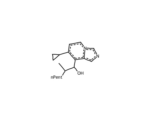 CCCCCC(C)C(O)c1c(C2CC2)ccn2cncc12